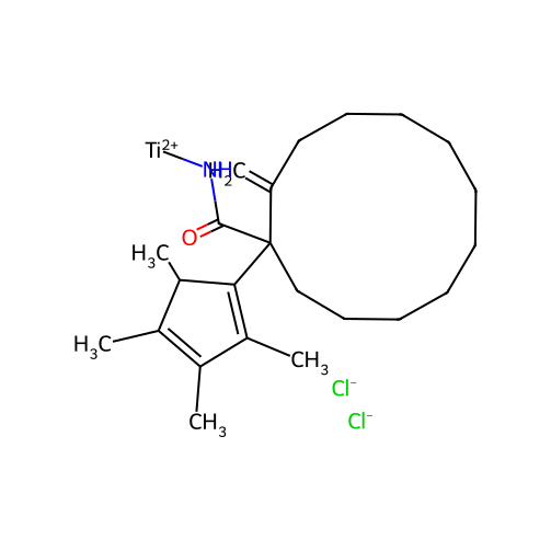 C=C1CCCCCCCCCCC1(C(=O)[NH][Ti+2])C1=C(C)C(C)=C(C)C1C.[Cl-].[Cl-]